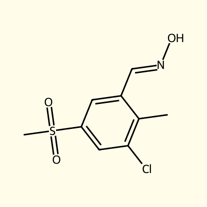 Cc1c(Cl)cc(S(C)(=O)=O)cc1C=NO